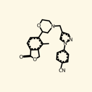 Cc1c(C2CN(Cc3cnn(-c4ccc(C#N)cc4)c3)CCO2)ccc2c1COC2=O